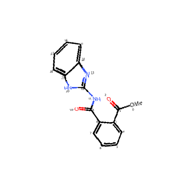 COC(=O)c1ccccc1C(=O)Nc1nc2ccccc2[nH]1